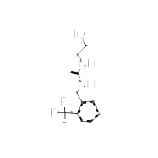 OCCNC(=S)NCc1ccccc1C(F)(F)F